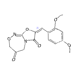 COc1ccc(/C=c2/oc3n(c2=O)CC(=O)CON=3)c(OC)c1